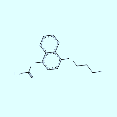 NC(=O)Oc1ccc(OCCCCl)c2ccccc12